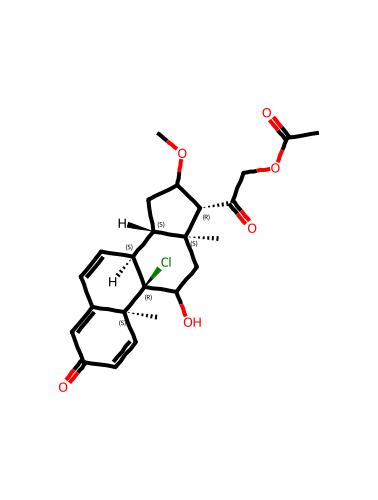 COC1C[C@H]2[C@@H]3C=CC4=CC(=O)C=C[C@]4(C)[C@@]3(Cl)C(O)C[C@]2(C)[C@H]1C(=O)COC(C)=O